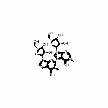 Cn1cnc2c(ncn2[C@@H]2O[C@H](CO)[C@@H](O)[C@H]2O)c1=N.Cn1cnc2c(ncn2[C@@H]2O[C@H](CO)[C@@H](O)[C@H]2O)c1=N